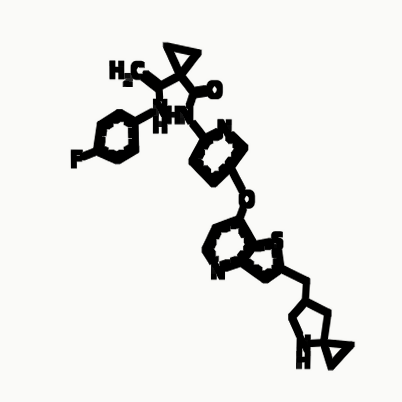 C=C(Nc1ccc(F)cc1)C1(C(=O)Nc2ccc(Oc3ccnc4cc(CC5CNC6(CC6)C5)sc34)cn2)CC1